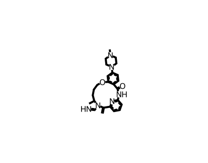 C=C1c2cccc(n2)NC(=O)c2ccc(N3CCN(C)CC3)cc2OCCCC(C)N1C=N